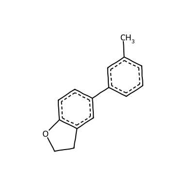 Cc1cccc(-c2ccc3c(c2)CCO3)c1